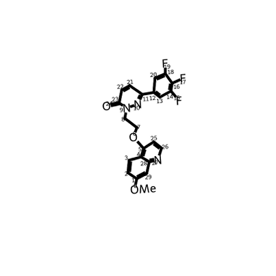 COc1ccc2c(OCCn3nc(-c4cc(F)c(F)c(F)c4)ccc3=O)ccnc2c1